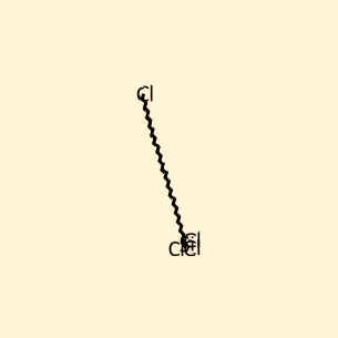 ClCCCCCCCCCCCCCCCCCCCCCCCCCCCCCCCCC[Si](Cl)(Cl)Cl